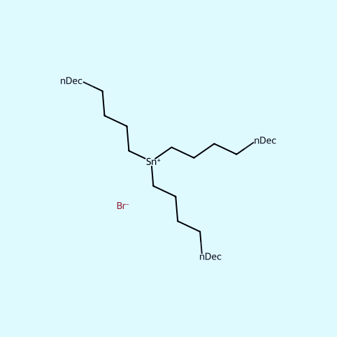 CCCCCCCCCCCCC[CH2][Sn+]([CH2]CCCCCCCCCCCCC)[CH2]CCCCCCCCCCCCC.[Br-]